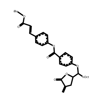 C=C1CC(C(CCCCCCCC)Oc2ccc(C(=O)Oc3ccc(/C=C/C(=O)OC(C)CC)cc3)cc2)OC1=O